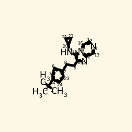 CC(C)(C)c1ccc(CCc2nc3cnccn3c2NC2CC2)cc1